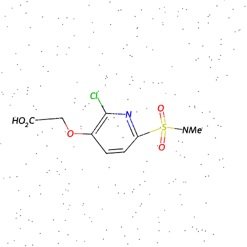 CNS(=O)(=O)c1ccc(OCC(=O)O)c(Cl)n1